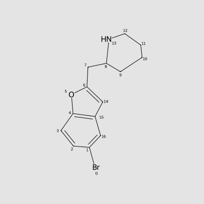 Brc1ccc2oc(CC3CCCCN3)cc2c1